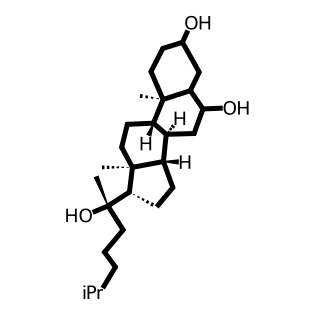 CC(C)CCC[C@](C)(O)[C@H]1CC[C@H]2[C@@H]3CC(O)C4CC(O)CC[C@]4(C)[C@H]3CC[C@@]21C